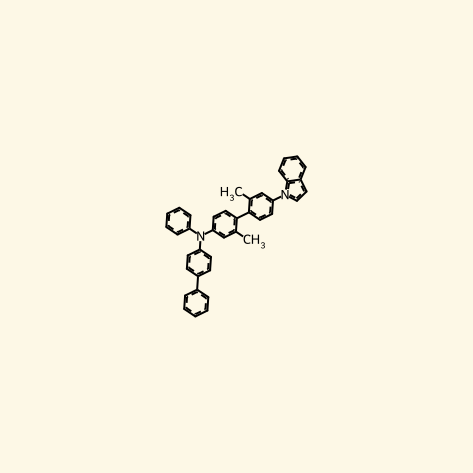 Cc1cc(N(c2ccccc2)c2ccc(-c3ccccc3)cc2)ccc1-c1ccc(-n2ccc3ccccc32)cc1C